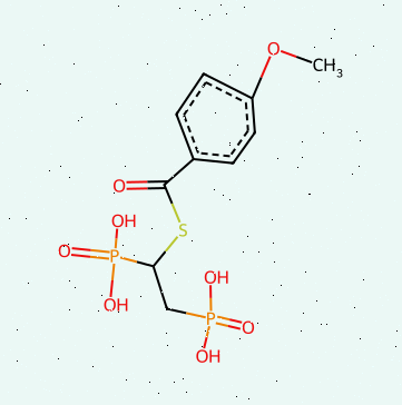 COc1ccc(C(=O)SC(CP(=O)(O)O)P(=O)(O)O)cc1